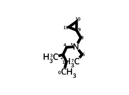 CCC(C)CN(CC)CC1CC1